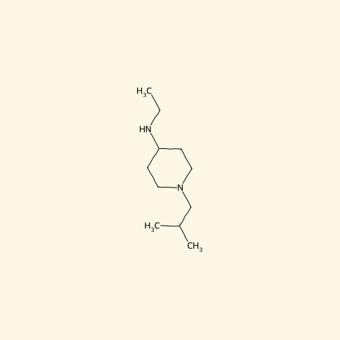 CCNC1CCN(C[C](C)C)CC1